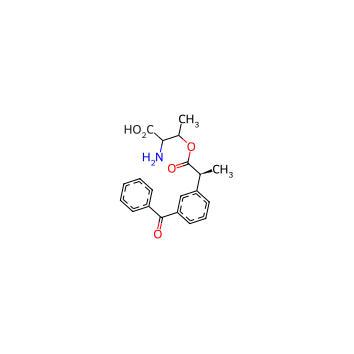 CC(OC(=O)[C@@H](C)c1cccc(C(=O)c2ccccc2)c1)C(N)C(=O)O